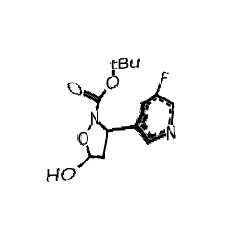 CC(C)(C)OC(=O)N1OC(O)CC1c1cncc(F)c1